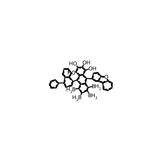 Bc1c(B)c(B)c2c(-c3ccc(-c4ccccc4)c4ccccc34)c3c(O)c(O)c(O)c(O)c3c(-c3ccc4oc5ccccc5c4c3)c2c1B